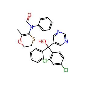 CC1=C(N(C=O)c2ccccc2)SCCO1.OC(c1ccccc1)(c1cncnc1)c1ccc(Cl)cc1Cl